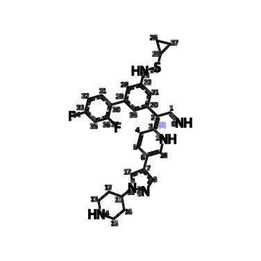 N=C/C(=C1/C=CC(c2cnn(C3CCNCC3)c2)=CN1)c1cc(NSC2CC2)cc(-c2ccc(F)cc2F)c1